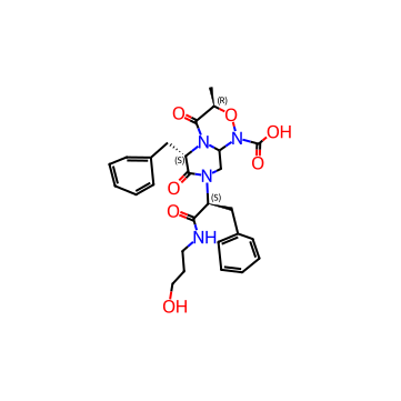 C[C@H]1ON(C(=O)O)C2CN([C@@H](Cc3ccccc3)C(=O)NCCCO)C(=O)[C@H](Cc3ccccc3)N2C1=O